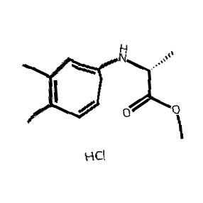 COC(=O)[C@@H](C)Nc1ccc(C)c(C)c1.Cl